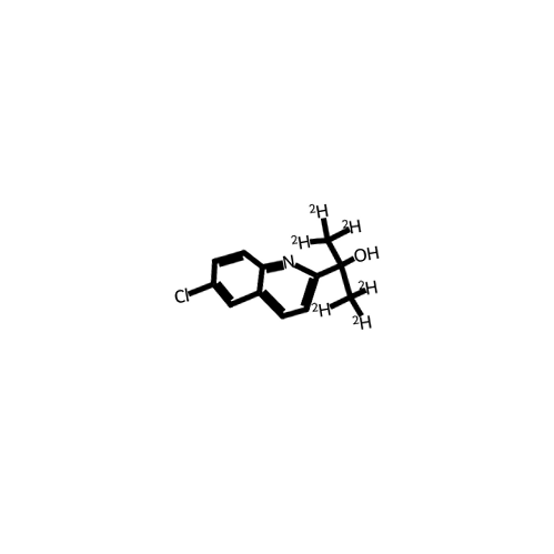 [2H]C([2H])([2H])C(O)(c1ccc2cc(Cl)ccc2n1)C([2H])([2H])[2H]